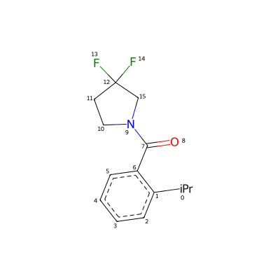 CC(C)c1ccccc1C(=O)N1CCC(F)(F)C1